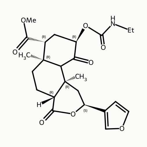 CCNC(=O)O[C@@H]1C[C@@H](C(=O)OC)[C@]2(C)CC[C@H]3C(=O)O[C@H](c4ccoc4)C[C@]3(C)C2C1=O